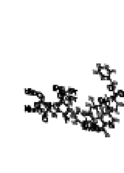 CCn1c(-c2cc(N3CCN(C(=O)OCc4ccccc4)CC3)cnc2[C@H](C)OC)c(CC(C)(C)CO)c2cc(-c3cc(O[Si](C(C)C)(C(C)C)C(C)C)cc(C[C@H](NC(=O)OC(C)(C)C)C(=O)OC)c3F)ccc21